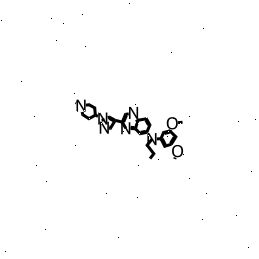 CCCN(c1cc(OC)cc(OC)c1)c1ccc2ncc(-c3cnn(C4CCN(C)CC4)c3)nc2c1